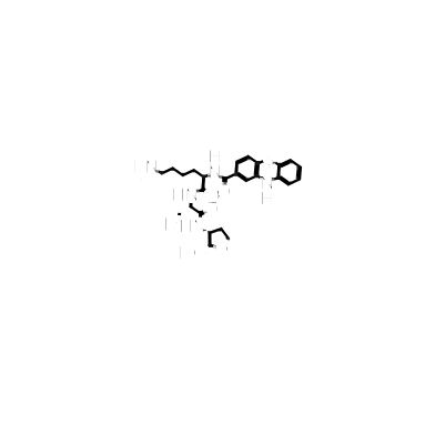 CC(C)C[C@H](NC(=O)C(CCCCN)NC(=O)c1ccc2c(c1)Nc1ccccc1S2)C(=O)N[C@H]1CCOC1O